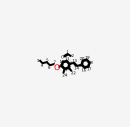 C=CC.CCCCCOc1ccc(C=Cc2ccccc2)c(C)c1C